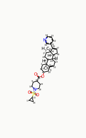 C[C@]12CC[C@H](OC(=O)C3CCN(S(=O)(=O)C4CC4)CC3)CC1=CC[C@@H]1[C@@H]2CC[C@]2(C)C(c3cccnc3)=CC[C@@H]12